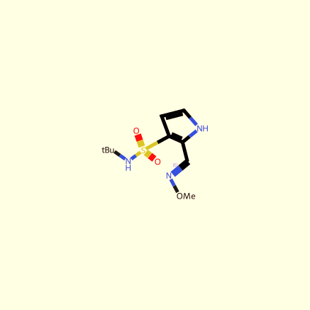 CO/N=C/c1[nH]ccc1S(=O)(=O)NC(C)(C)C